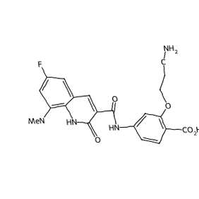 CNc1cc(F)cc2cc(C(=O)Nc3ccc(C(=O)O)c(OCCCN)c3)c(=O)[nH]c12